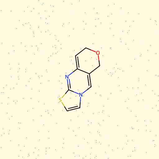 C1=CN2C=C3COCC=C3N=C2S1